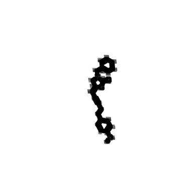 COc1ccc(CCC#CC=C2CN(Cc3ccccc3)C(=O)O2)cc1